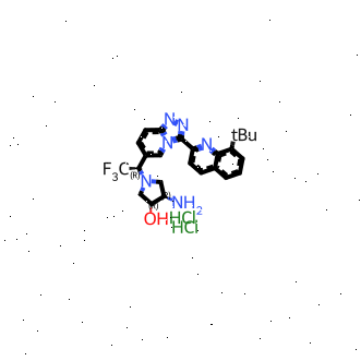 CC(C)(C)c1cccc2ccc(-c3nnc4ccc([C@@H](N5C[C@@H](N)[C@H](O)C5)C(F)(F)F)cn34)nc12.Cl.Cl